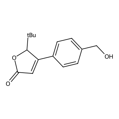 CC(C)(C)C1OC(=O)C=C1c1ccc(CO)cc1